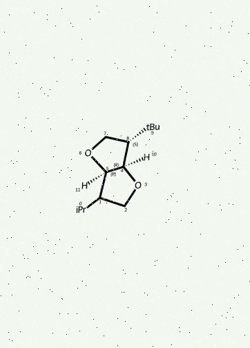 CC(C)C1CO[C@H]2[C@@H]1OC[C@@H]2C(C)(C)C